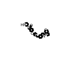 O=C1c2ccc(O[C@H]3CCN(Cc4ccc5nc(N6CCCC67CCOCC7)ccc5c4)C3)cc2CN1C1CCCNC1